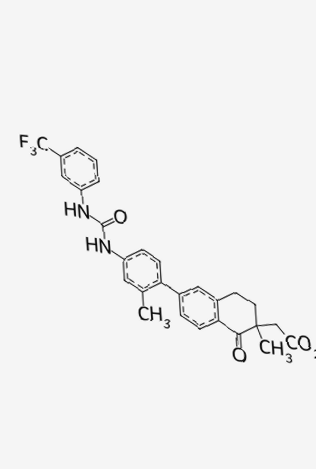 Cc1cc(NC(=O)Nc2cccc(C(F)(F)F)c2)ccc1-c1ccc2c(c1)CCC(C)(CC(=O)O)C2=O